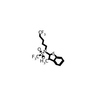 CC1c2ccccc2SC1N(CCCCC(F)(F)F)S(=O)(=O)C(F)(F)F